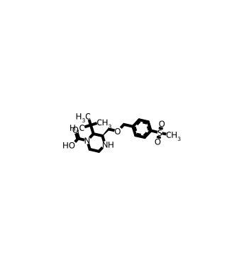 CC(C)(C)C1[C@@H](COCc2ccc(S(C)(=O)=O)cc2)NCCN1C(=O)O